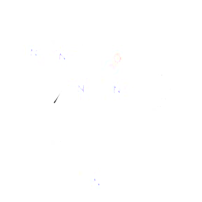 CCCCn1cncc1[C@H](Cc1ccc(C#N)cc1)N1CCN(c2cccc(C)c2C)C(=O)C1